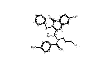 C=C(c1ccc(C)cc1)N(CCCN)[C@@H](c1oc2cc(Cl)ccc2c(=O)c1Cc1ccccc1)C(C)C